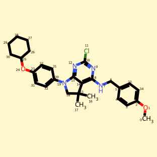 COc1ccc(CNc2nc(Cl)nc3c2C(C)(C)CN3c2ccc(OC3CCCCC3)cc2)cc1